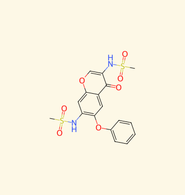 CS(=O)(=O)Nc1cc2occ(NS(C)(=O)=O)c(=O)c2cc1Oc1ccccc1